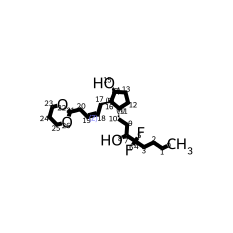 CCCCC(F)(F)C(O)CC[C@H]1CC[C@H](O)[C@@H]1C/C=C\CC1OCCCO1